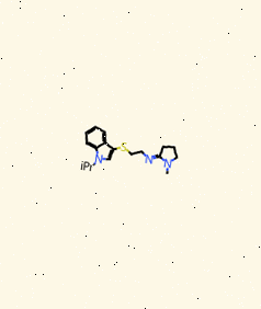 CC(C)n1cc(SCCN=C2CCCN2C)c2ccccc21